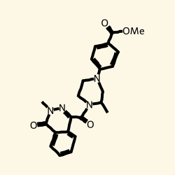 COC(=O)c1ccc(N2CCN(C(=O)c3nn(C)c(=O)c4ccccc34)C(C)C2)cc1